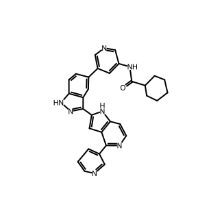 O=C(Nc1cncc(-c2ccc3[nH]nc(-c4cc5c(-c6cccnc6)nccc5[nH]4)c3c2)c1)C1CCCCC1